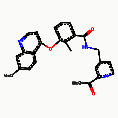 COC(=O)c1cc(CNC(=O)c2cccc(Oc3ccnc4cc(OC)ccc34)c2C)ccn1